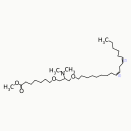 CCCCC/C=C\C/C=C\CCCCCCCCOCC(COCCCCCCC(=O)OC)N(C)C